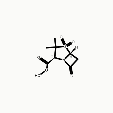 CC1(C)[C@H](C(=O)OO)N2C(=O)C[C@H]2S1(=O)=O